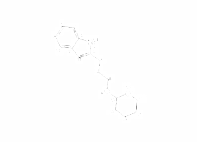 c1ccc2[nH]c(CCCOC3CCCCO3)cc2c1